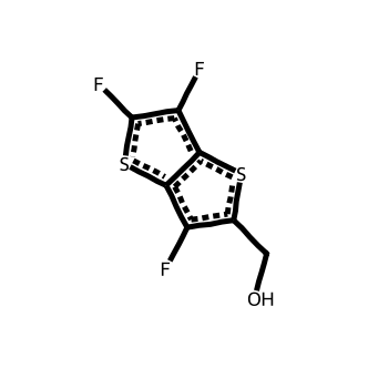 OCc1sc2c(F)c(F)sc2c1F